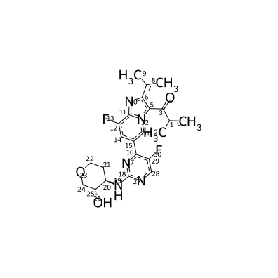 CC(C)C(=O)c1c(C(C)C)nc2c(F)cc(-c3nc(N[C@@H]4CCOC[C@H]4O)ncc3F)cn12